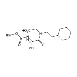 CCCC[C@H](NC(=O)OC(C)(C)C)C(=O)N(CCC1CCCCC1)CC(=O)O